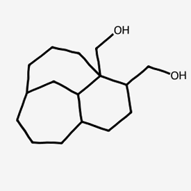 OCC1CCC2CCCC3CCCC1(CO)C2C3